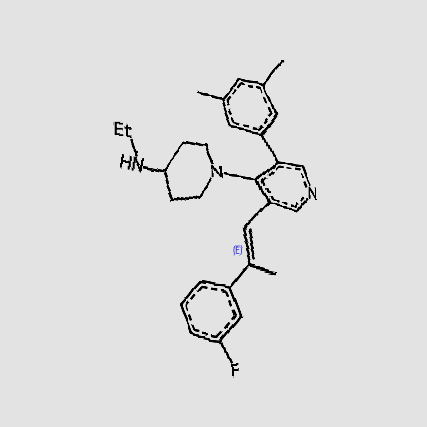 CCNC1CCN(c2c(/C=C(\C)c3cccc(F)c3)cncc2-c2cc(C)cc(C)c2)CC1